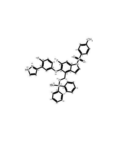 Cc1ccc(S(=O)(=O)n2ccc3c(CO[Si](c4ccccc4)(c4ccccc4)C(C)(C)C)c(Oc4ccc(F)c(-c5cc[nH]n5)c4)c(F)cc32)cc1